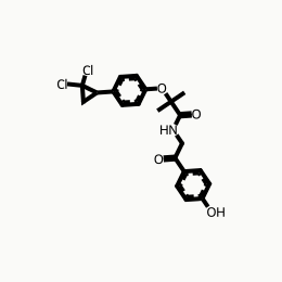 CC(C)(Oc1ccc(C2CC2(Cl)Cl)cc1)C(=O)NCC(=O)c1ccc(O)cc1